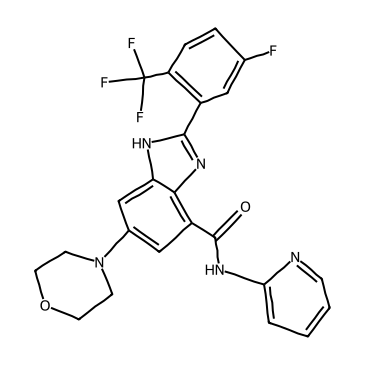 O=C(Nc1ccccn1)c1cc(N2CCOCC2)cc2[nH]c(-c3cc(F)ccc3C(F)(F)F)nc12